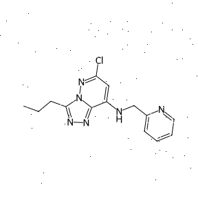 CCCc1nnc2c(NCc3ccccn3)cc(Cl)nn12